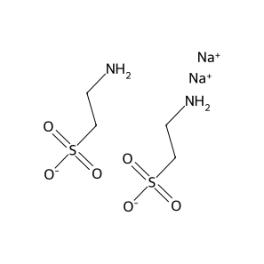 NCCS(=O)(=O)[O-].NCCS(=O)(=O)[O-].[Na+].[Na+]